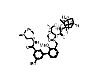 COc1c(CN2OC[C@H]([C@H](C)O)[C@H]2C(=O)N[C@H]2C[C@H]3C[C@@H]([C@@H]2C)C3(C)C)cccc1-c1cc(C(=O)N[C@@H](CC(C)C)CN(C)C)cc(C(C)(C)C)c1